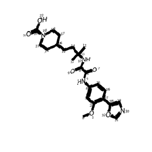 COc1cc(NC(=O)C(=O)NC(C)(C)CCC2CCN(C(=O)O)CC2)ccc1-c1cnco1